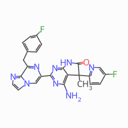 CC1(c2ccc(F)cn2)C(=O)Nc2nc(-c3cn4ccnc4c(Cc4ccc(F)cc4)n3)nc(N)c21